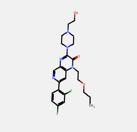 CCCOCCn1c(=O)c(N2CCN(CCO)CC2)nc2cnc(-c3ccc(F)cc3F)cc21